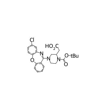 CC(C)(C)OC(=O)N1CCN(C2=Nc3cc(Cl)ccc3Oc3ccccc32)CC1CC(=O)O